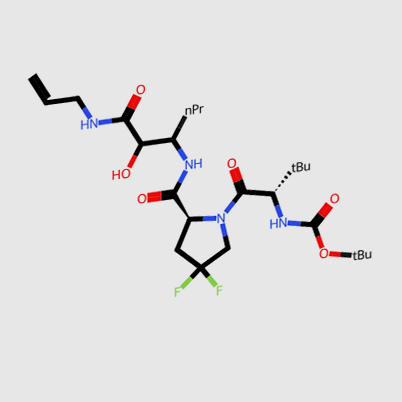 C=CCNC(=O)C(O)C(CCC)NC(=O)[C@@H]1CC(F)(F)CN1C(=O)[C@@H](NC(=O)OC(C)(C)C)C(C)(C)C